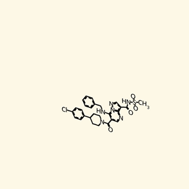 CS(=O)(=O)NC(=O)c1cnn2c(NCc3ccccc3)c(C(=O)N3CCC(c4ccc(Cl)cc4)CC3)cnc12